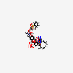 C[C@@H]1C#C/C=C\C#C[C@@H]2Nc3c(cc(O)c4c3C(=O)c3ccc(CN(C)C(=O)OCCS(=O)(=O)c5ccccc5)cc3C4=O)[C@]13O[C@@]23[C@@H](C)O